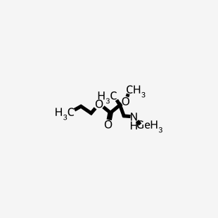 CCCOC(=O)C(C)(C[NH][GeH3])OC